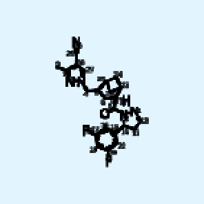 Cc1nn(CC2C[C@H](C(=O)N3N=CCC3c3cc(F)cc(F)c3)C3CC2C3)cc1C#N